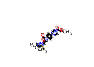 COCC(=O)N1CCN(c2ccc(N3CC(CNC(=S)C(C)C)OC3=O)cc2)CC1